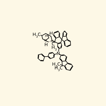 CC1C[C@@H]2C[C@H](C1)C[C@@H]([C@@]1(C)c3ccccc3C3(c4ccccc4-c4ccccc43)c3ccc(N(c4ccc(-c5ccccc5)cc4)c4ccc5c(c4)C(C)(C)c4ccccc4-5)cc31)C2